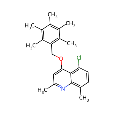 Cc1cc(OCc2c(C)c(C)c(C)c(C)c2C)c2c(Cl)ccc(C)c2n1